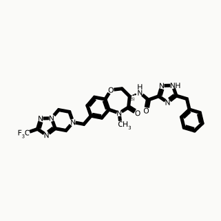 CN1C(=O)[C@@H](NC(=O)c2n[nH]c(Cc3ccccc3)n2)COc2ccc(CN3CCn4nc(C(F)(F)F)nc4C3)cc21